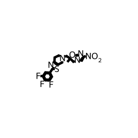 CC1(CN2CCc3nc(-c4cc(F)c(F)c(F)c4)sc3C2)Cn2cc([N+](=O)[O-])nc2O1